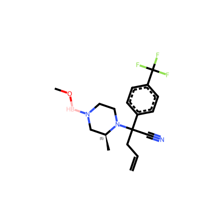 C=CCC(C#N)(c1ccc(C(F)(F)F)cc1)N1CCN(BOC)C[C@@H]1C